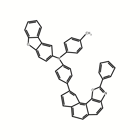 Cc1ccc(N(c2ccc(-c3ccc4ccc5ccc6nc(-c7ccccc7)oc6c5c4c3)cc2)c2ccc3oc4ccccc4c3c2)cc1